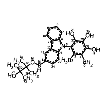 Bc1c(B)c(-n2c3ccccc3c3cc(BOC(C)(C)C(C)(C)O)ccc32)c(O)c(O)c1O